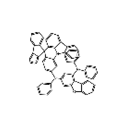 c1ccc(N(c2ccc3c(c2)-n2c4ccccc4c4cccc(c42)C32c3ccccc3-c3ccccc32)c2cc(N(c3ccccc3)c3ccccc3)c3c(c2)oc2ccccc23)cc1